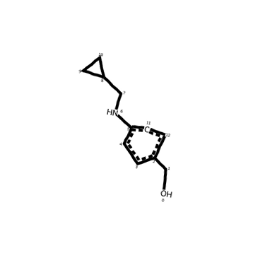 OCc1ccc(NCC2CC2)cc1